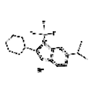 CC(C)c1ccc2cc(C3CCCCC3)[s+](C(F)(F)F)c2c1.[Br-]